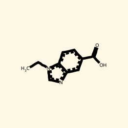 CCn1cnc2cc(C(=O)O)ccc21